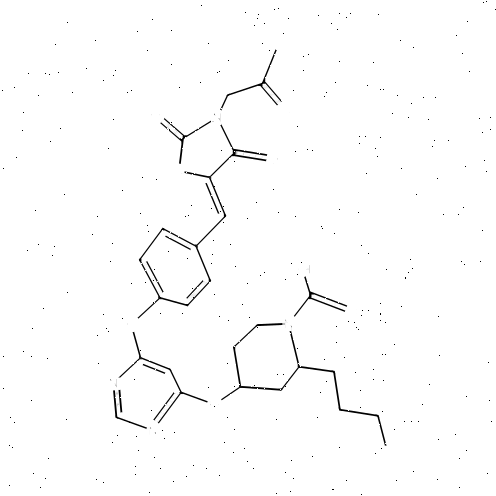 CCCCC1CC(Oc2cc(Oc3ccc(/C=C4\SC(=O)N(CC(C)=O)C4=O)cc3)ncn2)CCN1C(=O)O